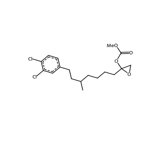 COC(=O)OC1(CCCCC(C)CCc2ccc(Cl)c(Cl)c2)CO1